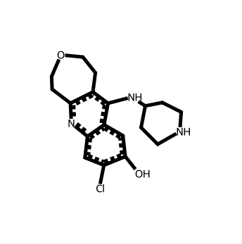 Oc1cc2c(NC3CCNCC3)c3c(nc2cc1Cl)CCOCC3